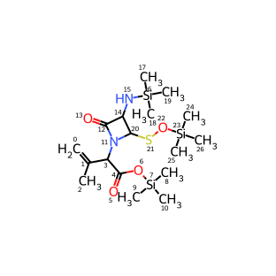 C=C(C)C(C(=O)O[Si](C)(C)C)N1C(=O)C(N[Si](C)(C)C)C1SO[Si](C)(C)C